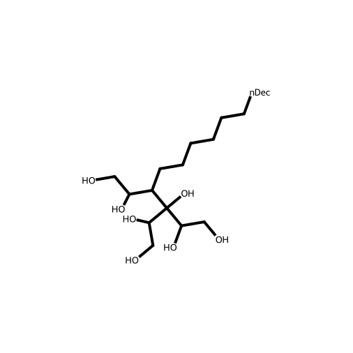 CCCCCCCCCCCCCCCCC(C(O)CO)C(O)(C(O)CO)C(O)CO